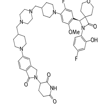 COc1cc(N2CCC(CN3CCN(CC4CCN(c5ccc6c(c5)CN(C5CCC(=O)NC5=O)C6=O)CC4)CC3)CC2)c(F)cc1[C@@H]1N(c2ccc(F)cc2O)C(=O)C12CCOCC2